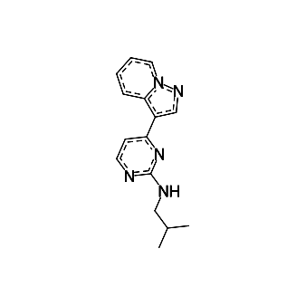 CC(C)CNc1nccc(-c2cnn3ccccc23)n1